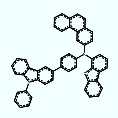 c1ccc(-n2c3ccccc3c3cc(-c4ccc(N(c5ccc6ccc7ccccc7c6c5)c5cccc6c5oc5ccccc56)cc4)ccc32)cc1